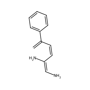 C=C(/C=C\C(N)=C/N)c1ccccc1